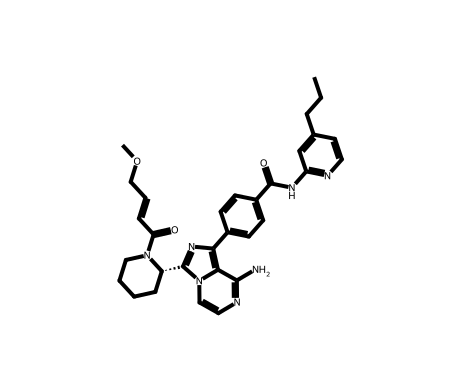 CCCc1ccnc(NC(=O)c2ccc(-c3nc([C@@H]4CCCCN4C(=O)C=CCOC)n4ccnc(N)c34)cc2)c1